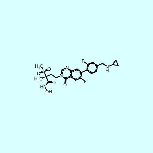 C[C@@](CCn1cnc2cc(-c3ccc(CNC4CC4)cc3F)c(F)cc2c1=O)(C(=O)NO)S(C)(=O)=O